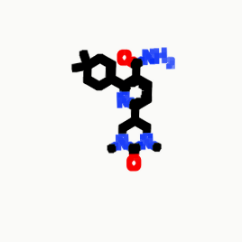 CN1CC(c2ccc(C(N)=O)c(C3=CCC(C)(C)CC3)n2)CN(C)C1=O